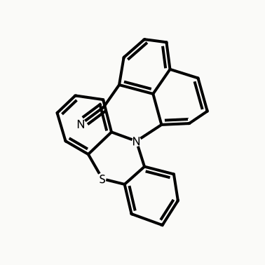 N#Cc1cccc2cccc(N3c4ccccc4Sc4ccccc43)c12